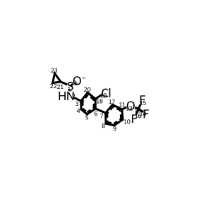 [O-][S+](Nc1ccc(-c2cccc(OC(F)(F)F)c2)c(Cl)c1)C1CC1